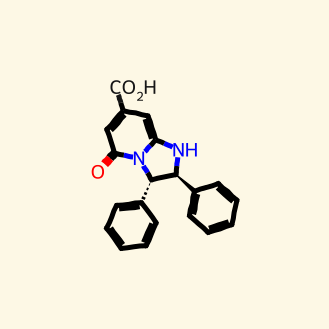 O=C(O)c1cc2n(c(=O)c1)[C@@H](c1ccccc1)[C@H](c1ccccc1)N2